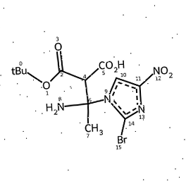 CC(C)(C)OC(=O)C(C(=O)O)C(C)(N)n1cc([N+](=O)[O-])nc1Br